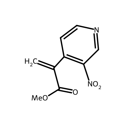 C=C(C(=O)OC)c1ccncc1[N+](=O)[O-]